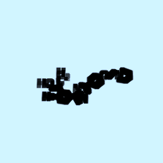 C=C/C(=C\O)c1cc(-c2cnn3cc(-c4ccc(OCCN5CCCCC5)cc4)cnc23)ccc1C#N